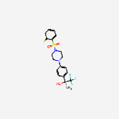 C[C@](O)(c1ccc(N2CCN(S(=O)(=O)C3=CC=CCC3=S)CC2)cc1)C(F)(F)F